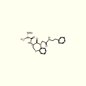 CN[C@@H](C)C(=O)N[C@@H]1CSc2ccccc2N(CC(=O)NCCc2ccccc2)C1=O